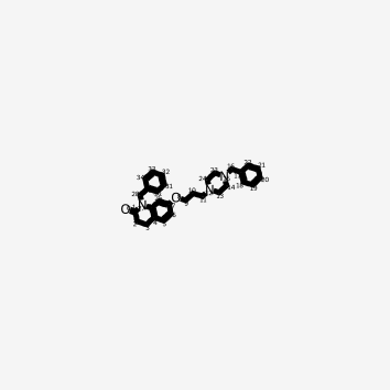 O=C1CCc2ccc(OCCCN3CCN(Cc4ccccc4)CC3)cc2N1Cc1ccccc1